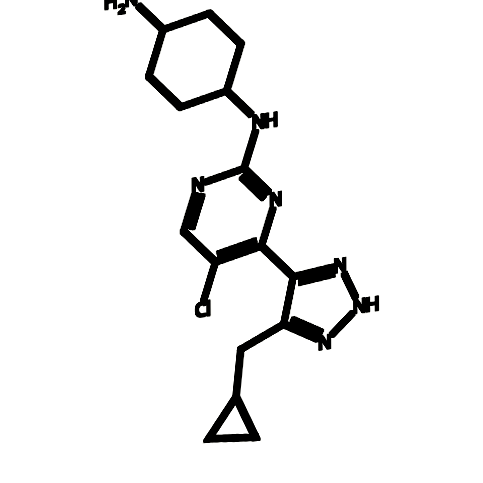 NC1CCC(Nc2ncc(Cl)c(-c3n[nH]nc3CC3CC3)n2)CC1